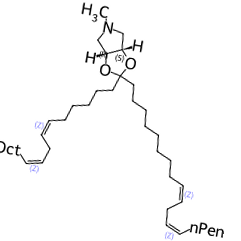 CCCCC/C=C\C/C=C\CCCCCCCCC1(CCCCC/C=C\C/C=C\CCCCCCCC)O[C@H]2CN(C)C[C@H]2O1